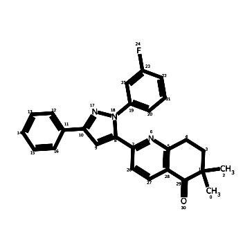 CC1(C)CCc2nc(-c3cc(-c4ccccc4)nn3-c3cccc(F)c3)ccc2C1=O